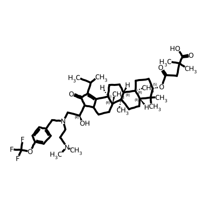 CC(C)C1=C2C(CC[C@]3(C)[C@@H]2CC[C@@H]2[C@@]4(C)CC[C@H](OC(=O)CC(C)(C)C(=O)O)C(C)(C)[C@@H]4CC[C@]23C)C([C@@H](O)CN(CCN(C)C)Cc2ccc(OC(F)(F)F)cc2)C1=O